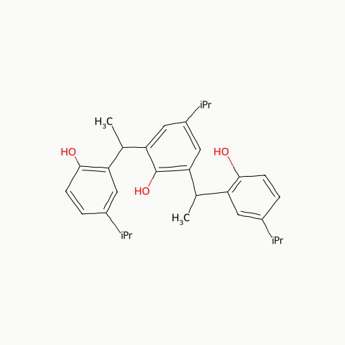 CC(C)c1ccc(O)c(C(C)c2cc(C(C)C)cc(C(C)c3cc(C(C)C)ccc3O)c2O)c1